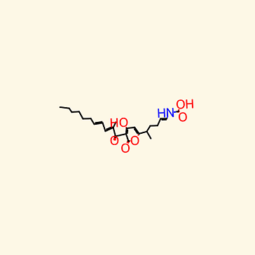 CCCCCC/C=C/C=C(\C)C(=O)c1c(O)cc(C(C)CC/C=C/NC(=O)O)oc1=O